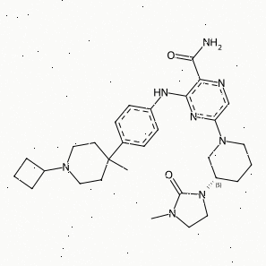 CN1CCN([C@H]2CCCN(c3cnc(C(N)=O)c(Nc4ccc(C5(C)CCN(C6CCC6)CC5)cc4)n3)C2)C1=O